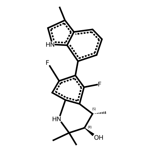 Cc1c[nH]c2c(-c3c(F)cc4c(c3F)[C@H](C)[C@@H](O)C(C)(C)N4)cccc12